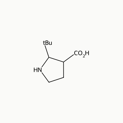 CC(C)(C)C1NCCC1C(=O)O